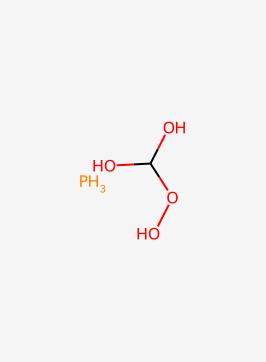 OOC(O)O.P